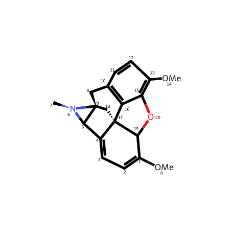 COC1=CC=C2C3[N@@](C)[C@@]34Cc3ccc(OC)c5c3[C@@]2(C4)C1O5